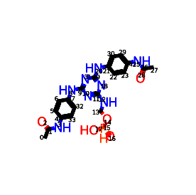 CC(=O)Nc1ccc(Nc2nc(NCO[PH](=O)O)nc(Nc3ccc(NC(C)=O)cc3)n2)cc1